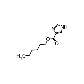 CCCCCCOC(=O)c1c[nH]cn1